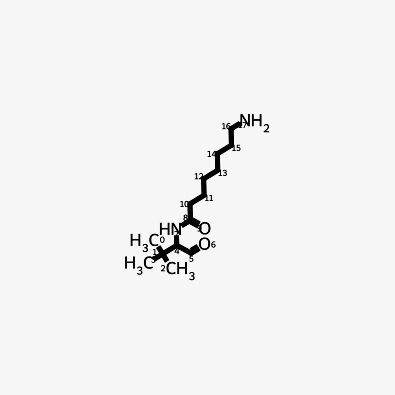 CC(C)(C)C(C=O)NC(=O)CCCCCCCN